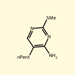 CCCCCc1cnc(SC)nc1N